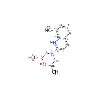 CC1CN(c2ccc3cccc(C#N)c3n2)CC(C)O1